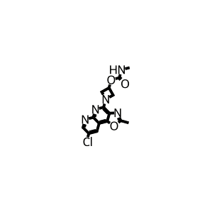 CNC(=O)OC1CN(c2nc3ncc(Cl)cc3c3oc(C)nc23)C1